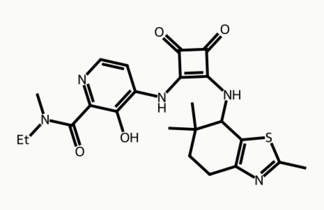 CCN(C)C(=O)c1nccc(Nc2c(NC3c4sc(C)nc4CCC3(C)C)c(=O)c2=O)c1O